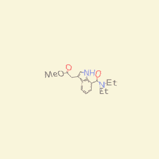 CCN(CC)C(=O)c1cccc2c(CC(=O)OC)c[nH]c12